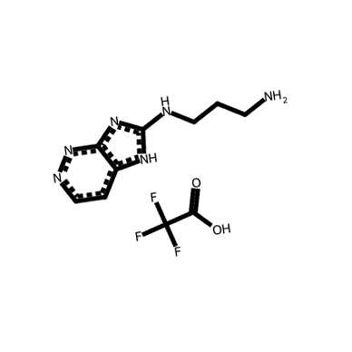 NCCCNc1nc2nnccc2[nH]1.O=C(O)C(F)(F)F